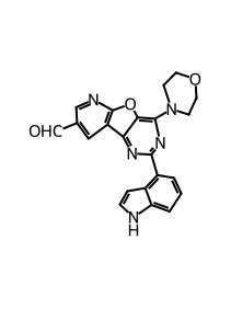 O=Cc1cnc2oc3c(N4CCOCC4)nc(-c4cccc5[nH]ccc45)nc3c2c1